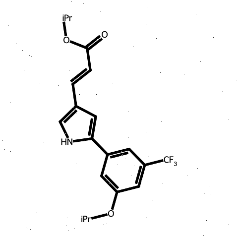 CC(C)OC(=O)C=Cc1c[nH]c(-c2cc(OC(C)C)cc(C(F)(F)F)c2)c1